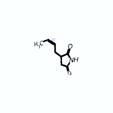 C/C=C\CC1CC(=O)NC1=O